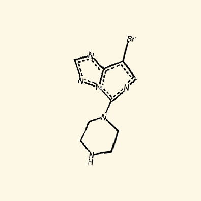 Brc1cnc(N2CCNCC2)n2ncnc12